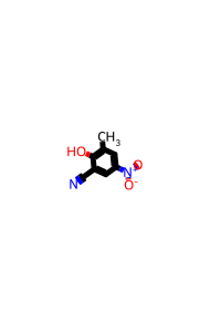 Cc1cc([N+](=O)[O-])cc(C#N)c1O